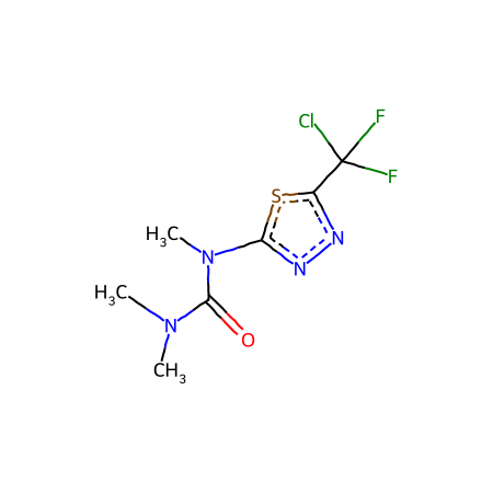 CN(C)C(=O)N(C)c1nnc(C(F)(F)Cl)s1